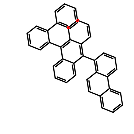 c1ccc(-c2ccccc2-c2c3ccccc3c(-c3cccc4c3ccc3ccccc34)c3ccccc23)cc1